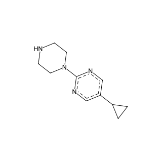 c1nc(N2CCNCC2)ncc1C1CC1